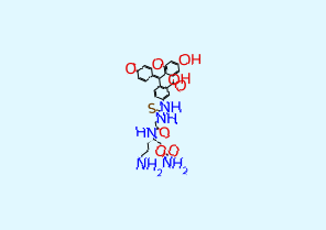 NCCC[C@@H](COC(N)=O)NC(=O)CNC(=S)Nc1ccc(-c2c3ccc(=O)cc-3oc3cc(O)ccc23)c(C(=O)O)c1